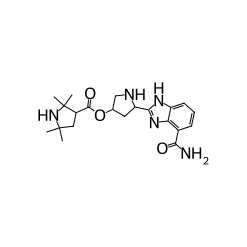 CC1(C)CC(C(=O)OC2CNC(c3nc4c(C(N)=O)cccc4[nH]3)C2)C(C)(C)N1